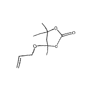 C=CCOC1(C)OC(=O)OC1(C)C